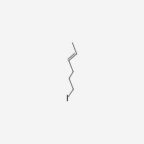 CC=CCCCI